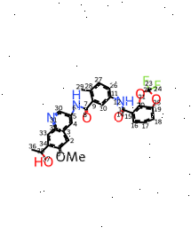 COc1cc2cc(NC(=O)c3cc(NC(=O)c4cccc5c4OC(F)(F)O5)ccc3C)cnc2cc1C(C)O